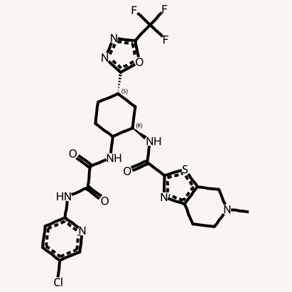 CN1CCc2nc(C(=O)N[C@@H]3C[C@@H](c4nnc(C(F)(F)F)o4)CCC3NC(=O)C(=O)Nc3ccc(Cl)cn3)sc2C1